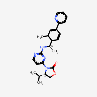 CC1C=C(c2ccccn2)C=CC1[C@H](C)Nc1nccc(N2C(=O)OC[C@@H]2C(C)C)n1